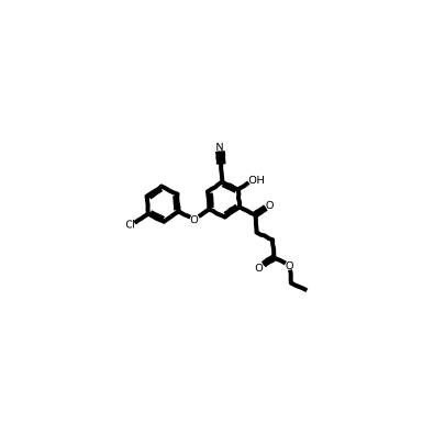 CCOC(=O)CCC(=O)c1cc(Oc2cccc(Cl)c2)cc(C#N)c1O